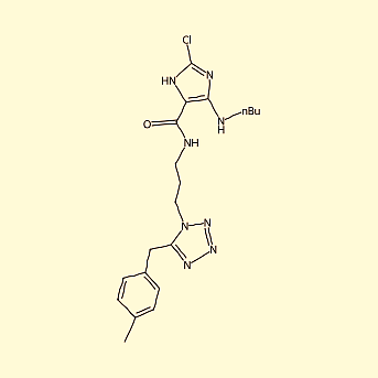 CCCCNc1nc(Cl)[nH]c1C(=O)NCCCn1nnnc1Cc1ccc(C)cc1